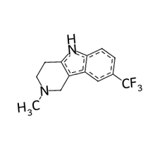 CN1CCc2[nH]c3ccc(C(F)(F)F)cc3c2C1